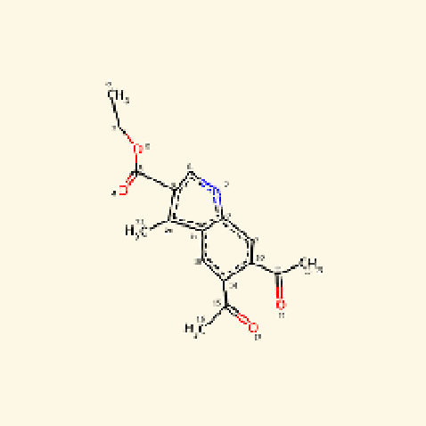 CCOC(=O)c1cnc2cc(C(C)=O)c(C(C)=O)cc2c1C